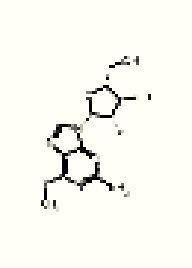 CSc1nc(N)nc2c1ncn2[C@@H]1O[C@H](CO)[C@@H](O)[C@@H]1F